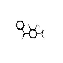 Cc1c([N+](=O)[O-])ccc(C(=O)c2ccccc2)c1F